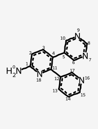 Nc1ccc(-c2cncnc2)c(-c2cccnc2)n1